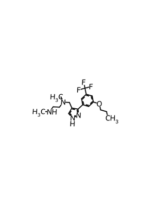 CCCOc1cc(-c2n[nH]cc2CN(C)CCNC)cc(C(F)(F)F)c1